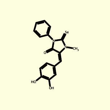 CN1C(=[Se])N(c2ccccc2)C(=O)C1=Cc1ccc(O)c(O)c1